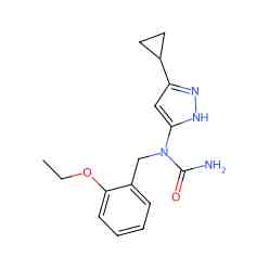 CCOc1ccccc1CN(C(N)=O)c1cc(C2CC2)n[nH]1